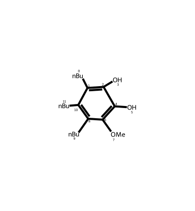 CCCCc1c(O)c(O)c(OC)c(CCCC)c1CCCC